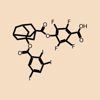 O=C(OC12CC3CC(C1)CC(C(=O)Oc1c(F)c(F)c(C(=O)O)c(F)c1F)(C3)C2)c1cc(I)cc(I)c1I